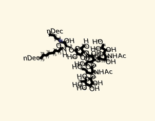 CCCCCCCCCCCCC/C=C/[C@H](O)[C@@H](CO[C@@H]1OC(CO)[C@@H](O[C@@H]2OC(CO)[C@H](O[C@@H]3OC(CO)[C@H](O)C(O[C@@H]4OC(CO)[C@H](O)C(O)[C@@H]4O)[C@@H]3NC(C)=O)C(O[C@]3(C(C)=O)C[C@@H](O)[C@@H](NC(C)=O)C([C@H](O)[C@H](O)CO)O3)[C@@H]2O)C(O)[C@@H]1O)NC(=O)CCCCCCCCCCCCCCCCC